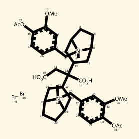 COc1cc(C[N+]2(C)C3CCC2CC(C(CC(=O)O)(C(=O)O)C2CC4CCC(C2)[N+]4(C)Cc2ccc(OC(C)=O)c(OC)c2)C3)ccc1OC(C)=O.[Br-].[Br-]